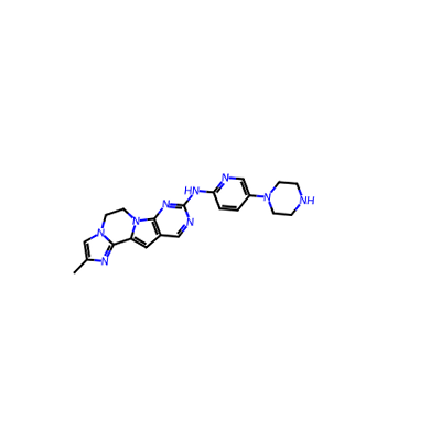 Cc1cn2c(n1)-c1cc3cnc(Nc4ccc(N5CCNCC5)cn4)nc3n1CC2